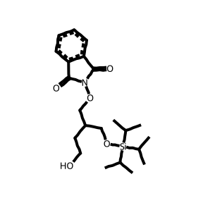 CC(C)[Si](OCC(CCO)CON1C(=O)c2ccccc2C1=O)(C(C)C)C(C)C